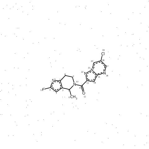 CC1c2cc(F)sc2CCN1C(=O)c1cc2ncc(Cl)cn2n1